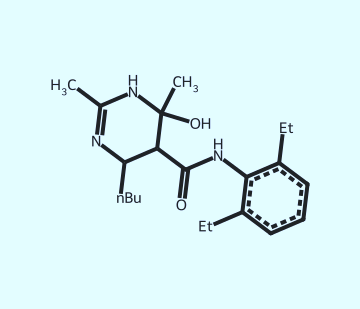 CCCCC1N=C(C)NC(C)(O)C1C(=O)Nc1c(CC)cccc1CC